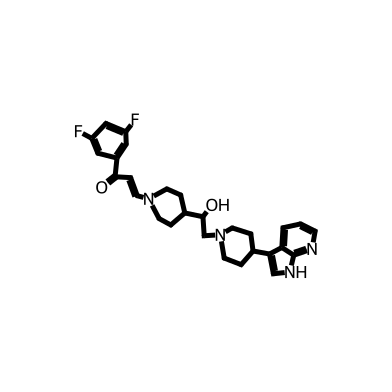 O=C(C=CN1CCC(C(O)CN2CCC(c3c[nH]c4ncccc34)CC2)CC1)c1cc(F)cc(F)c1